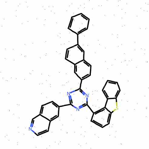 c1ccc(-c2ccc3cc(-c4nc(-c5ccc6cnccc6c5)nc(-c5cccc6sc7ccccc7c56)n4)ccc3c2)cc1